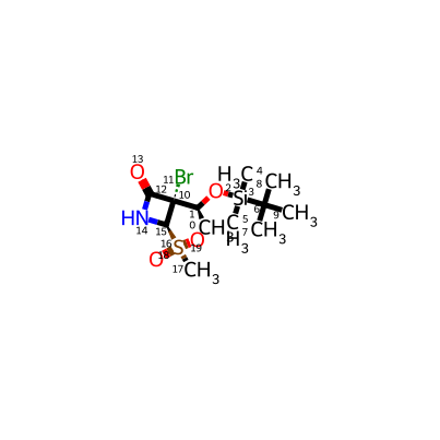 C[C@H](O[Si](C)(C)C(C)(C)C)[C@]1(Br)C(=O)N[C@@H]1S(C)(=O)=O